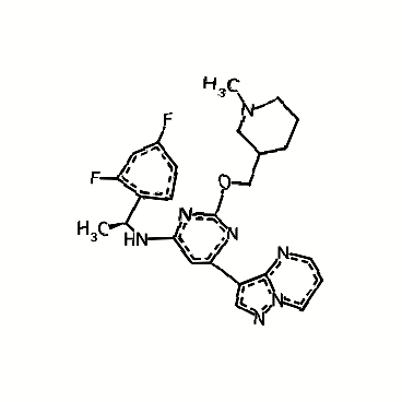 C[C@H](Nc1cc(-c2cnn3cccnc23)nc(OCC2CCCN(C)C2)n1)c1ccc(F)cc1F